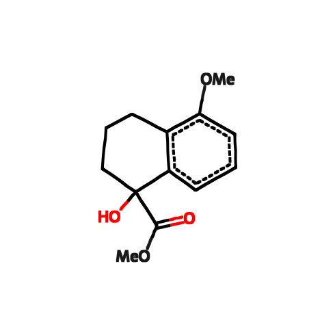 COC(=O)C1(O)CCCc2c(OC)cccc21